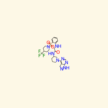 O=C(CNc1ccccc1S(=O)(=O)N1CCC(C(F)(F)F)CC1)N[C@@H]1CCCN(c2ncnc3[nH]ncc23)C1